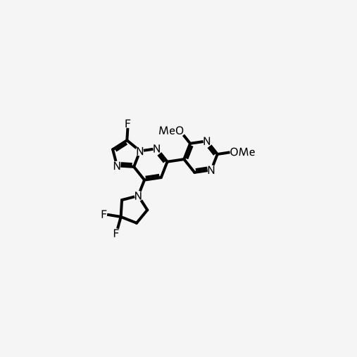 COc1ncc(-c2cc(N3CCC(F)(F)C3)c3ncc(F)n3n2)c(OC)n1